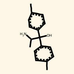 Cc1ccc(C(O)(c2ccc(C)cc2)C(C)N)cc1